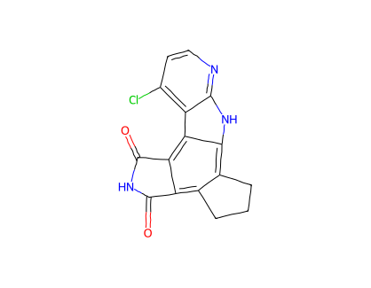 O=C1NC(=O)c2c1c1c(c3[nH]c4nccc(Cl)c4c23)CCC1